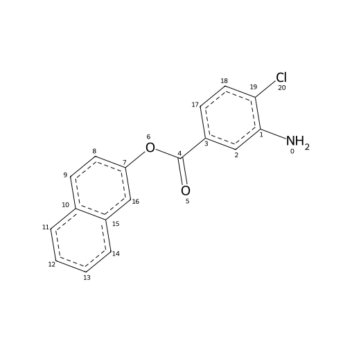 Nc1cc(C(=O)Oc2ccc3ccccc3c2)ccc1Cl